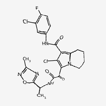 Cc1noc(C(C)NC(=O)C(=O)c2c(Cl)c(C(=O)Nc3ccc(F)c(Cl)c3)c3n2CCCC3)n1